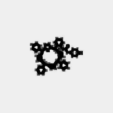 O=C(CN1CCNCC1)Nc1ccccc1-c1c2nc(c(-c3ccccc3)c3ccc([nH]3)c(-c3ccccc3)c3nc(c(-c4ccccc4)c4ccc1[nH]4)C=C3)C=C2